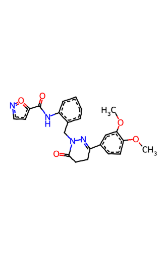 COc1ccc(C2=NN(Cc3ccccc3NC(=O)c3ccno3)C(=O)CC2)cc1OC